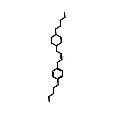 CCCCCc1ccc(C/C=C\CC2CCC(CCCCC)CC2)cc1